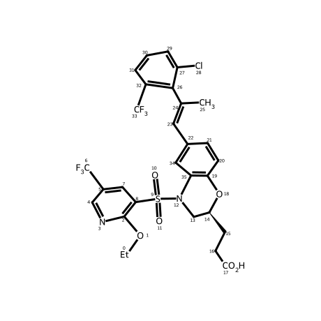 CCOc1ncc(C(F)(F)F)cc1S(=O)(=O)N1C[C@H](CCC(=O)O)Oc2ccc(/C=C(\C)c3c(Cl)cccc3C(F)(F)F)cc21